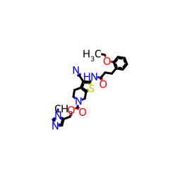 CCOc1ccccc1CCC(=O)Nc1sc2c(c1C#N)CCN(C(=O)OCc1cncn1C)C2